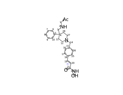 CC(=O)CNCC1(c2ccccc2)CCN(Cc2ccc(/C=C/C(=O)NO)cc2)CC1